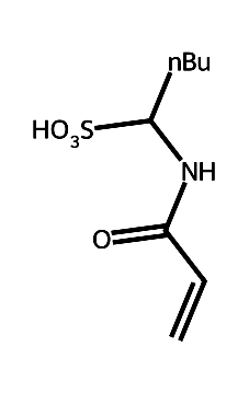 C=CC(=O)NC(CCCC)S(=O)(=O)O